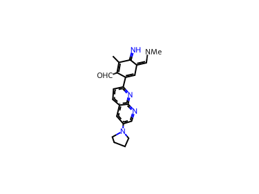 CN/C=C1/C=C(c2ccc3cc(N4CCCC4)cnc3n2)C(C=O)=C(C)C1=N